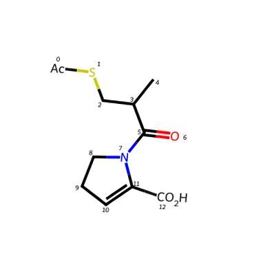 CC(=O)SCC(C)C(=O)N1CCC=C1C(=O)O